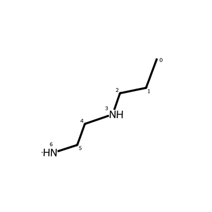 [CH2]CCNCC[NH]